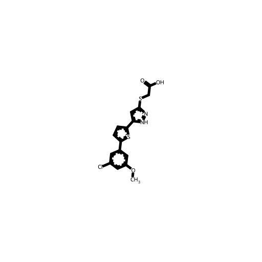 COc1cc(Cl)cc(-c2ccc(-c3cc(SCC(=O)O)n[nH]3)s2)c1